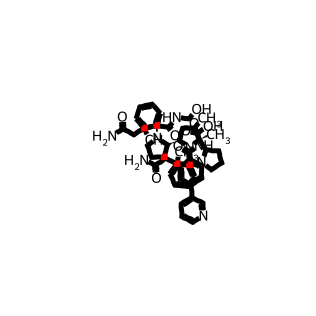 CC1C[C@@H](C2CCCN2[C@@]2(C(=O)NC(=O)O)c3ccc(cc3)C2(C)CC(N)=O)N(c2ccc(-c3cccnc3)cc2)[C@]1(C)C1CCCN1[C@@]1(C(=O)NC(=O)O)c2ccc(cc2)C1(C)CC(N)=O